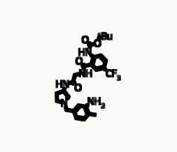 Cc1ccc(CN2CCC(NC(=O)CNC(=O)c3cc(C(F)(F)F)ccc3NC(=O)OC(C)(C)C)C2)cc1N